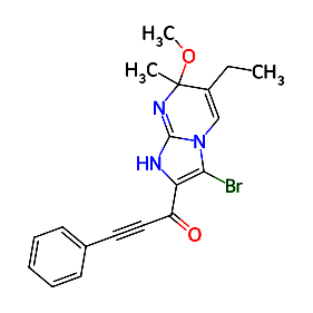 CCC1=CN2C(=NC1(C)OC)NC(C(=O)C#Cc1ccccc1)=C2Br